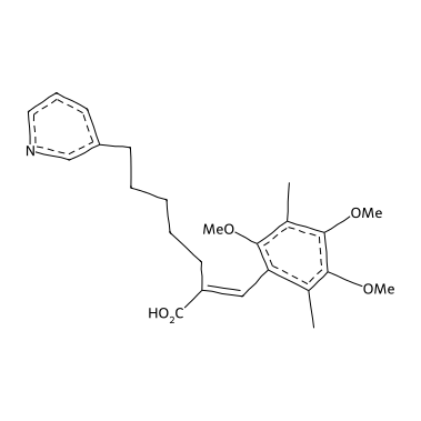 COc1c(C)c(OC)c(OC)c(C)c1C=C(CCCCCc1cccnc1)C(=O)O